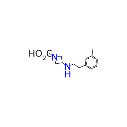 Cc1cccc(CCNC2CN(C(=O)O)C2)c1